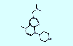 CN(C)Cc1cnc2c(c1)N(C)C=CN2C1CCNCC1